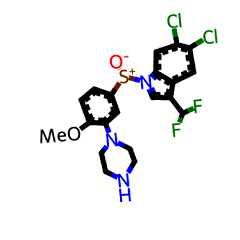 COc1ccc([S+]([O-])n2cc(C(F)F)c3cc(Cl)c(Cl)cc32)cc1N1CCNCC1